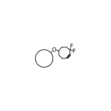 FC1(F)C#CCCC(OC2CCCCCCCCCCC2)CC1